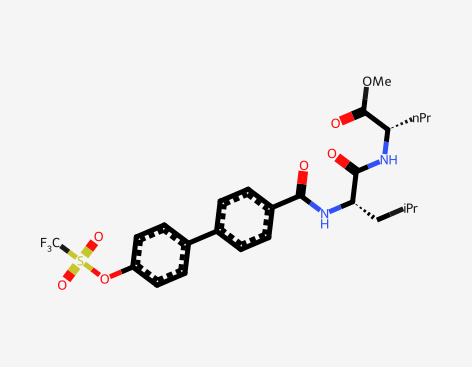 CCC[C@H](NC(=O)[C@H](CC(C)C)NC(=O)c1ccc(-c2ccc(OS(=O)(=O)C(F)(F)F)cc2)cc1)C(=O)OC